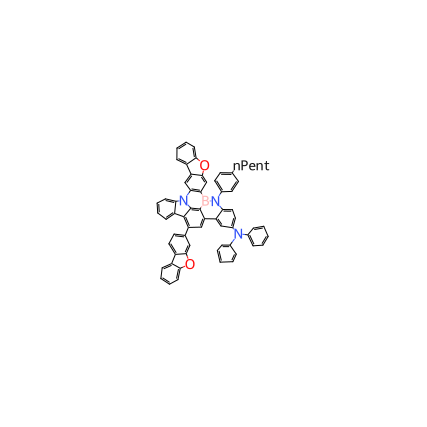 CCCCCc1ccc(N2B3c4cc5oc6ccccc6c5cc4-n4c5ccccc5c5c(-c6ccc7c(c6)oc6ccccc67)cc(c3c54)-c3cc(N(c4ccccc4)c4ccccc4)ccc32)cc1